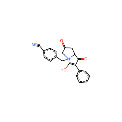 N#Cc1ccc(C[N+]23CC(=O)CC2C(=O)C(c2ccccc2)=C3O)cc1